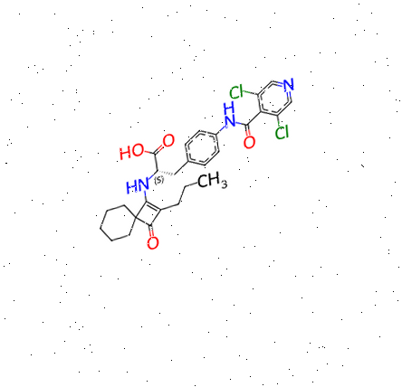 CCCC1=C(N[C@@H](Cc2ccc(NC(=O)c3c(Cl)cncc3Cl)cc2)C(=O)O)C2(CCCCC2)C1=O